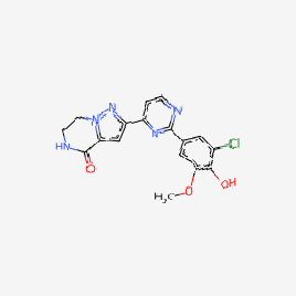 COc1cc(-c2nccc(-c3cc4n(n3)CCNC4=O)n2)cc(Cl)c1O